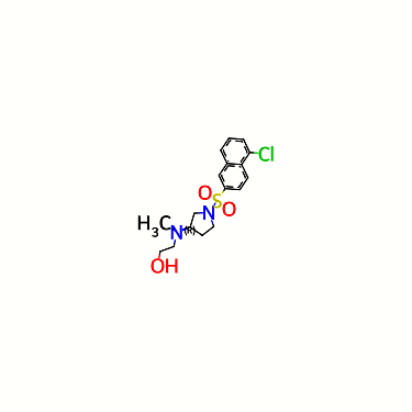 CN(CCO)[C@@H]1CCN(S(=O)(=O)c2ccc3c(Cl)cccc3c2)C1